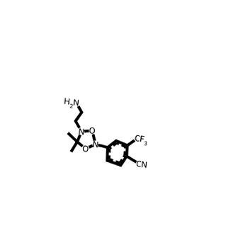 CC1(C)ON(c2ccc(C#N)c(C(F)(F)F)c2)ON1CCN